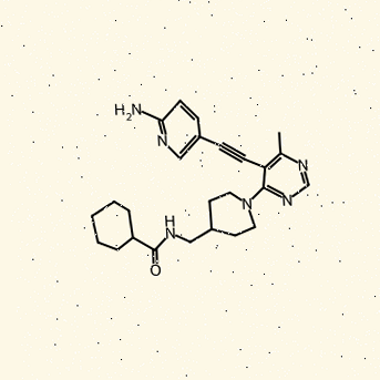 Cc1ncnc(N2CCC(CNC(=O)C3CCCCC3)CC2)c1C#Cc1ccc(N)nc1